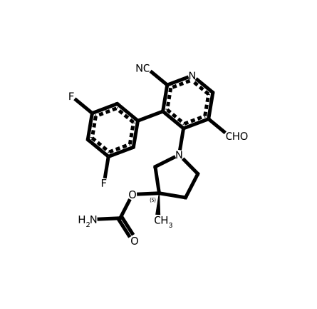 C[C@]1(OC(N)=O)CCN(c2c(C=O)cnc(C#N)c2-c2cc(F)cc(F)c2)C1